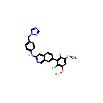 COc1cc(OC)c(Cl)c(-c2ccc3cc(Nc4ccc(Cn5cncn5)cc4)ncc3c2)c1Cl